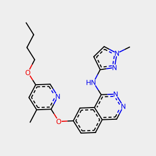 CCCCOc1cnc(Oc2ccc3cnnc(Nc4ccn(C)n4)c3c2)c(C)c1